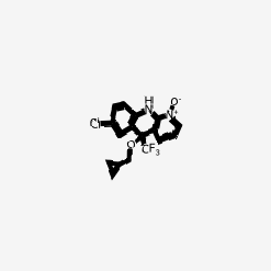 [O-][n+]1cccc2c1Nc1ccc(Cl)cc1C2(OCC1CC1)C(F)(F)F